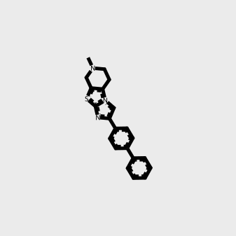 CN1CCc2c(sc3nc(-c4ccc(-c5ccccc5)cc4)cn23)C1